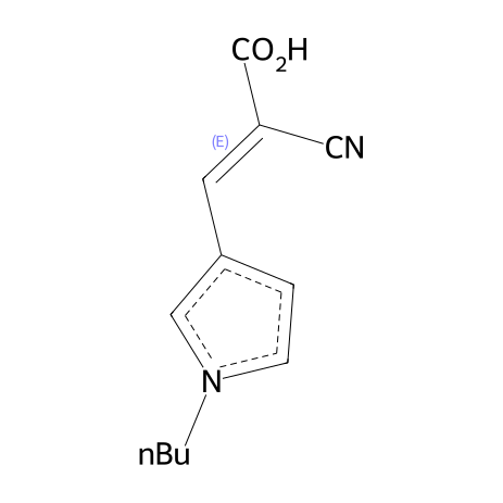 CCCCn1ccc(/C=C(\C#N)C(=O)O)c1